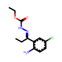 CCOC(=O)N/N=C(\CC)c1cc(Cl)ccc1N